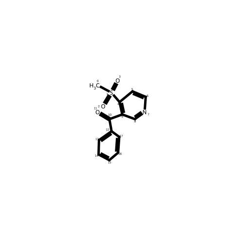 CS(=O)(=O)c1ccncc1C(=O)c1ccccc1